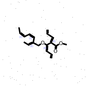 C=C/C=C(OCC(/C=C\C=C/C)=C/C)\C(=C/C=C)C(=O)OC